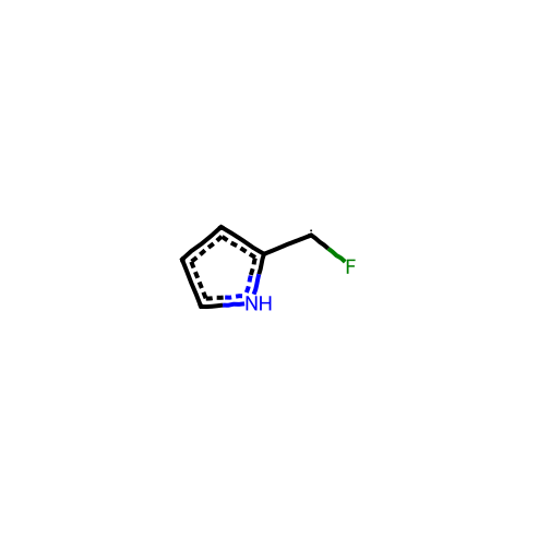 F[CH]c1ccc[nH]1